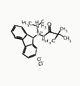 C[SiH](C)[Ti+2]([NH]C(=O)C(C)(C)C)[CH]1c2ccccc2-c2ccccc21.[Cl-].[Cl-]